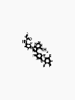 C=CC(=O)N[C@H]1CC[C@@H](n2nc(-c3ccc(Oc4c(F)c(F)cc(F)c4F)cc3F)c3c(N)ncnc32)C1